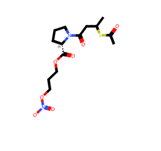 CC(=O)SC(C)CC(=O)N1CCC[C@H]1C(=O)OCCCO[N+](=O)[O-]